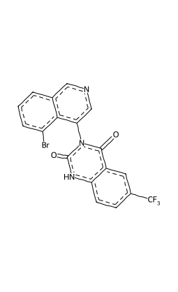 O=c1[nH]c2ccc(C(F)(F)F)cc2c(=O)n1-c1cncc2cccc(Br)c12